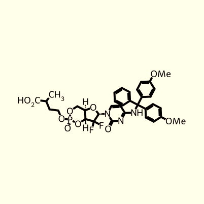 COc1ccc(C(Nc2ccn([C@@H]3O[C@@H]4COP(=O)(OCCC(C)C(=O)O)O[C@H]4C3(F)F)c(=O)n2)(c2ccccc2)c2ccc(OC)cc2)cc1